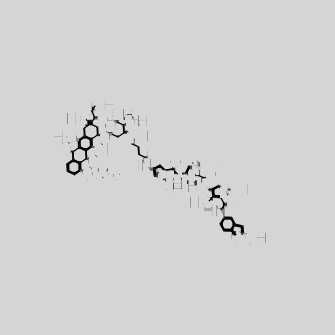 COc1cccc2c1C(=O)c1c(O)c3c(c(O)c1C2=O)CC(O)(C(=O)CO)C[C@H]3OC1C[C@H](NCCCC(=O)Nc2cc(C(=O)Nc3cn(C)c(C(=O)Nc4cn(C)c(C(=O)Nc5ccc6oc(C)cc6c5)c4O)n3)n(C)c2)[C@H](O)[C@H](C)O1